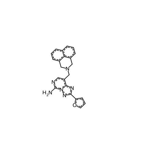 Nc1ncc(CN2Cc3cccc4cccc(c34)C2)c2nc(-c3ccco3)nn12